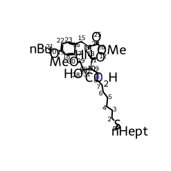 CCCCCCCSCCCCCC/C=C/[C@H](C(=O)N[C@@H](Cc1ccc(OCCCC)cc1)C(=O)OC)[C@@](O)(COC)C(=O)O